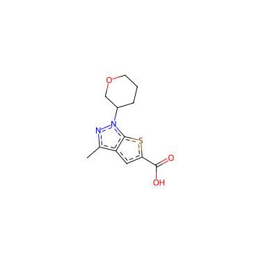 Cc1nn(C2CCCOC2)c2sc(C(=O)O)cc12